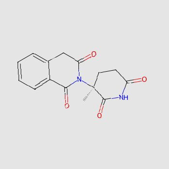 C[C@]1(N2C(=O)Cc3ccccc3C2=O)CCC(=O)NC1=O